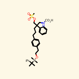 CC(C)C(C)(C)[Si](C)(C)OCCc1ccc(CCCC(CNC(=O)O)(COS(C)(=O)=O)c2ccccc2)cc1